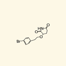 O=C1CCC(OCCc2ccc(Br)cc2)C(=O)N1